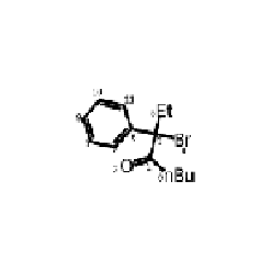 CCCCC(=O)C(Br)(CC)c1ccccc1